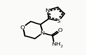 NC(=O)N1CCOCC1c1nccs1